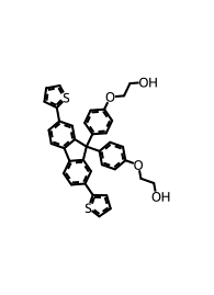 OCCOc1ccc(C2(c3ccc(OCCO)cc3)c3cc(-c4cccs4)ccc3-c3ccc(-c4cccs4)cc32)cc1